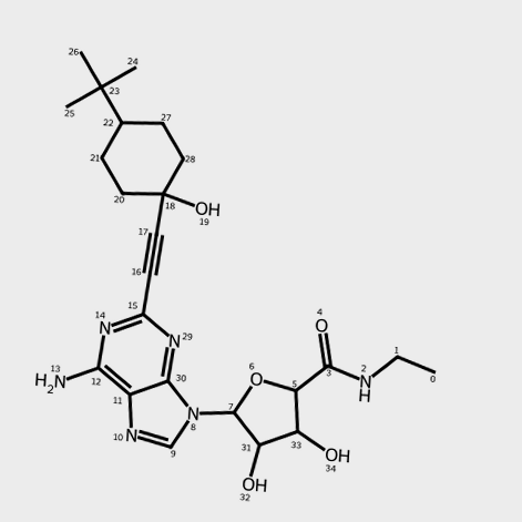 CCNC(=O)C1OC(n2cnc3c(N)nc(C#CC4(O)CCC(C(C)(C)C)CC4)nc32)C(O)C1O